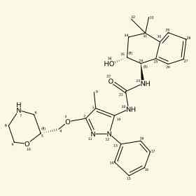 Cc1c(OC[C@H]2CNCCO2)nn(-c2ccccc2)c1NC(=O)N[C@@H]1c2ccccc2C(C)(C)C[C@H]1O